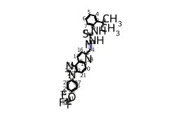 CC(C)c1ccccc1NC(=S)N/N=C/c1ccc2c(ccc3c2ncn3-c2ccc(OC(F)(F)F)cc2)n1